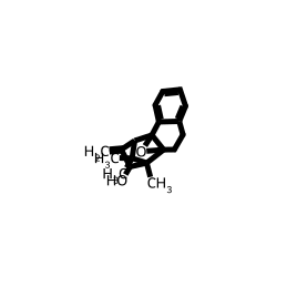 C=C1C2C(C)(C)C(C)(C1O)C13CCc4ccccc4C21O3